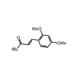 COc1ccc(/C=C/C(=O)C(C)(C)C)c(OC)c1